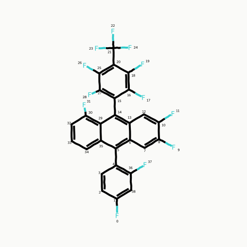 Fc1ccc(-c2c3cc(F)c(F)cc3c(-c3c(F)c(F)c(C(F)(F)F)c(F)c3F)c3c(F)cccc23)c(F)c1